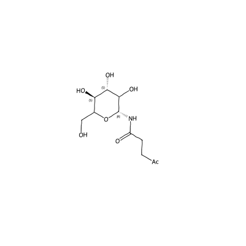 CC(=O)CCC(=O)N[C@@H]1OC(CO)[C@@H](O)[C@H](O)C1O